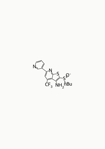 CCCC[S@+]([O-])c1sc2nc(-c3cccnc3)cc(C(F)(F)F)c2c1N